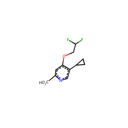 O=C(O)c1cc(OCC(F)F)c(C2CC2)cn1